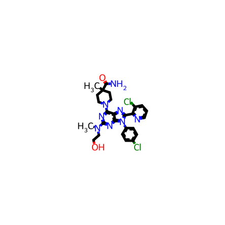 CN(CCO)c1nc(N2CCC(C)(C(N)=O)CC2)c2nc(-c3ncccc3Cl)n(-c3ccc(Cl)cc3)c2n1